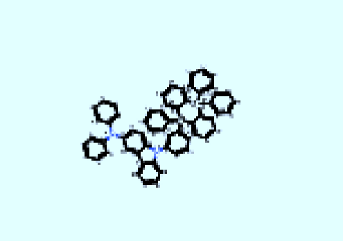 c1ccc(N(c2ccccc2)c2ccc3c(c2)c2ccccc2n3-c2cccc([Si]3(c4ccccc4)c4ccccc4[Si](c4ccccc4)(c4ccccc4)c4ccccc43)c2)cc1